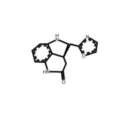 O=C1CC2(Cc3ncco3)CNc3cccc(c32)N1